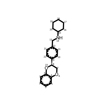 c1ccc2c(c1)OC[C@H](c1ccc(CNC3CCCCC3)cc1)O2